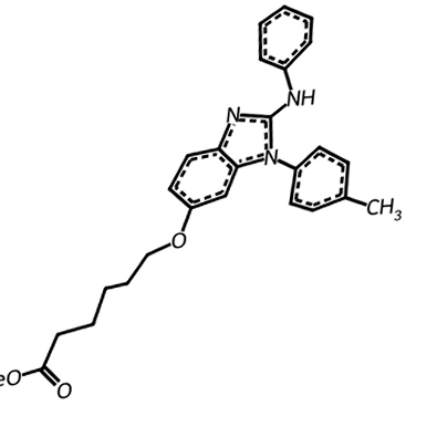 COC(=O)CCCCCOc1ccc2nc(Nc3ccccc3)n(-c3ccc(C)cc3)c2c1